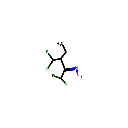 CCC(C(=NO)C(F)F)C(F)F